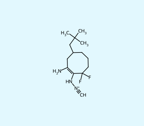 C#[N+]N/C1=C(\N)CC(CC(C)(C)C)CCCC1(F)F